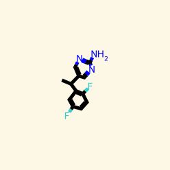 CC(c1cnc(N)nc1)c1cc(F)ccc1F